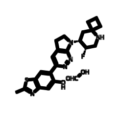 Cc1nc2cc(O)c(-c3cc4c(nn3)N([C@@H]3CC5(CCC5)NC[C@@H]3F)CC4)cc2s1.O=CO